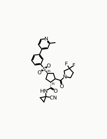 Cc1cc(-c2cccc(S(=O)(=O)[C@H]3CC(C(=O)N4CCC(F)(F)C4)[C@H](C(=O)NC4(C#N)CC4)C3)c2)ccn1